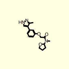 Cc1n[nH]cc1-c1c[c]cc(OCC(=O)N(C)C2CCCO2)c1